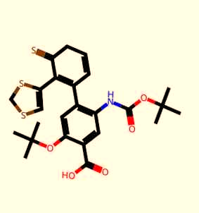 CC(C)(C)OC(=O)Nc1cc(C(=O)O)c(OC(C)(C)C)cc1C1=C(C2=CSCS2)C(=S)CC=C1